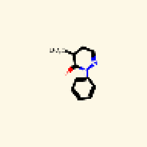 CCOC(=O)C1CC=NNC1=O.c1ccccc1